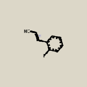 N#C/C=C/c1ccccc1I